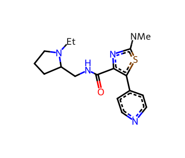 CCN1CCCC1CNC(=O)c1nc(NC)sc1-c1ccncc1